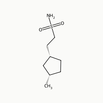 C[C@H]1CC[C@@H](CCS(N)(=O)=O)C1